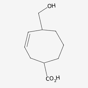 O=C(O)C1CC=CC(CO)CCC1